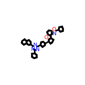 c1ccc(-c2nc(-c3ccc(-c4cccc5c4oc4ccc6oc(-c7ccccc7)nc6c45)cc3)nc(-c3ccc4ccccc4c3)n2)cc1